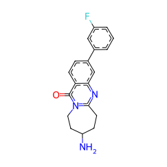 NC1CCc2nc3cc(-c4cccc(F)c4)ccc3c(=O)n2CC1